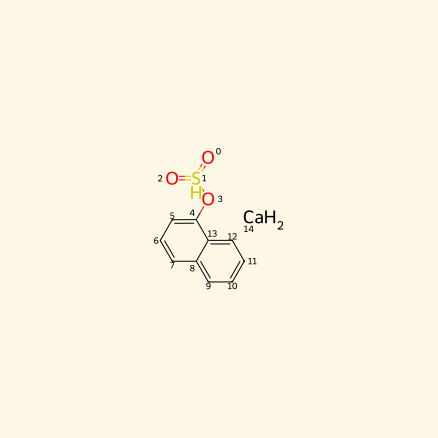 O=[SH](=O)Oc1cccc2ccccc12.[CaH2]